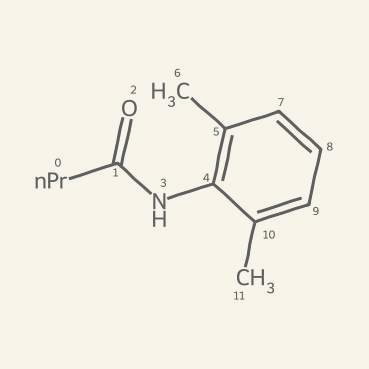 CCCC(=O)Nc1c(C)cccc1C